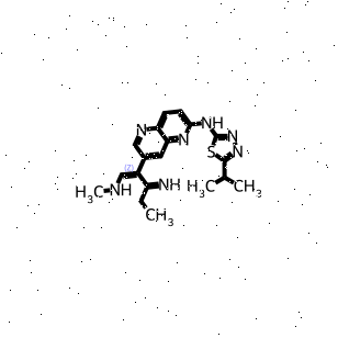 CCC(=N)/C(=C\NC)c1cnc2ccc(Nc3nnc(C(C)C)s3)nc2c1